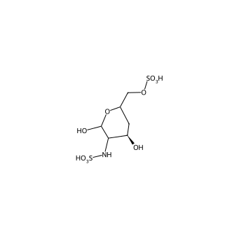 O=S(=O)(O)NC1C(O)OC(COS(=O)(=O)O)C[C@H]1O